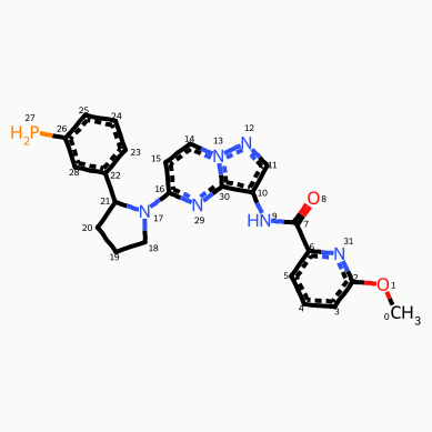 COc1cccc(C(=O)Nc2cnn3ccc(N4CCCC4c4cccc(P)c4)nc23)n1